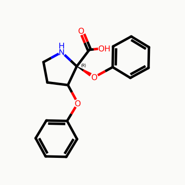 O=C(O)[C@@]1(Oc2ccccc2)NCCC1Oc1ccccc1